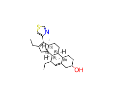 CCC1=C(c2cscn2)[C@@]2(C)CC[C@@H]3[C@@H](C(CC)C=C4CC(O)CC[C@@]43C)[C@@H]2C1